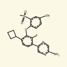 CS(=O)(=O)c1cc(C#N)ccc1Oc1c(C2CCC2)ccc(-c2cnc(N)cn2)c1F